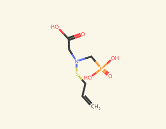 C=CCSN(CC(=O)O)CP(=O)(O)O